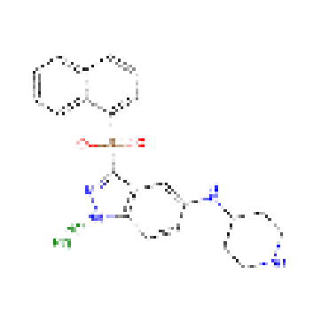 Cl.Cl.O=S(=O)(c1cccc2ccccc12)c1n[nH]c2ccc(NC3CCNCC3)cc12